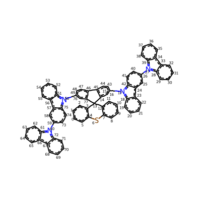 c1ccc2c(c1)Sc1ccccc1C21c2cc(-n3c4ccccc4c4cc(-n5c6ccccc6c6ccccc65)ccc43)ccc2-c2ccc(-n3c4ccccc4c4cc(-n5c6ccccc6c6ccccc65)ccc43)cc21